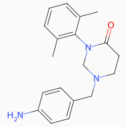 Cc1cccc(C)c1N1CN(Cc2ccc(N)cc2)CCC1=O